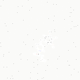 CC(C)(C)OC(=O)N1CCC(Cc2cc(F)c(F)c(F)c2)CC1